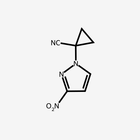 N#CC1(n2ccc([N+](=O)[O-])n2)CC1